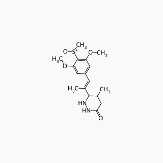 COc1cc(/C=C(\C)C2NNC(=O)CC2C)cc(OC)c1[S+](C)[O-]